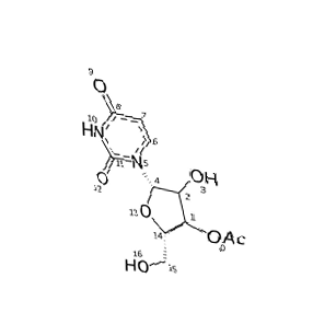 CC(=O)OC1C(O)[C@@H](n2ccc(=O)[nH]c2=O)O[C@H]1CO